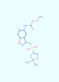 CCOC(=O)Nc1cc2c(CS(=O)(=O)C3=NOC(C)(C)C3)noc2cc1F